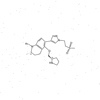 CC(=O)N1c2ccc(-c3cnn(CCS(C)(=O)=O)c3)c(OC[C@H]3CCCN3)c2CC[C@@H]1C